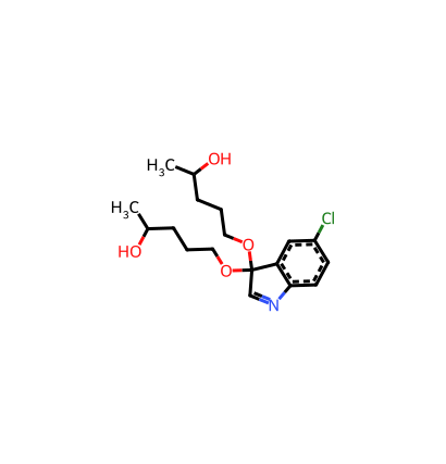 CC(O)CCCOC1(OCCCC(C)O)C=Nc2ccc(Cl)cc21